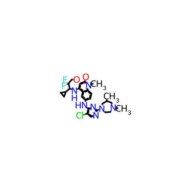 CC1CN(C)CCN(c2ncc(Cl)c(Nc3ccc4c(c3)c3c(c(=O)n4C)OCC(F)(F)C(C4CC4)N3)n2)C1